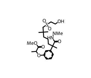 CNNC(=O)C(C)(CCCC(C)(C)CS(=O)(=O)CCO)c1cccc(OC(C)C(=O)OC)c1